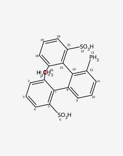 Cc1cccc(S(=O)(=O)O)c1-c1cccc(P)c1-c1c(C)cccc1S(=O)(=O)O